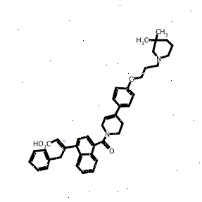 CC1(C)CCCN(CCCOc2ccc(C3=CCN(C(=O)c4ccc(/C(=C/C(=O)O)Cc5ccccc5)c5ccccc45)CC3)cc2)C1